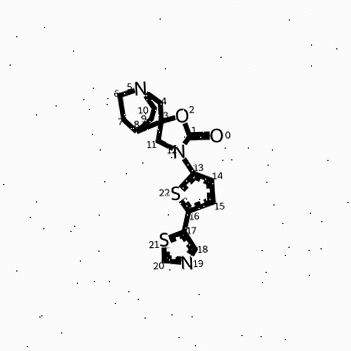 O=C1OC2(CN3CCC2CC3)CN1c1ccc(-c2cncs2)s1